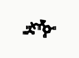 CC(C)(CNC1(c2cc(Cl)cc(Cl)c2)CC1)NC(=O)O